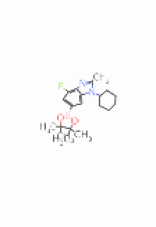 Cc1nc2c(F)cc(B3OC(C)(C)C(C)(C)O3)cc2n1C1CCCCC1